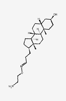 C[C@]12CC[C@H](O)C[C@H]1CC[C@@H]1[C@@H]2CC[C@]2(C)[C@@H](CC/C=N/OCCN)CC[C@@H]12